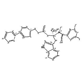 Cc1cc(C)cc(C(=O)N(C)[C@](CC(=O)CCc2ccc(-c3ccccc3)cc2)(Cc2c[nH]c3ccccc23)C(=O)O)c1